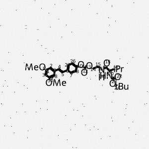 COc1cc(/C=C/c2ccc(OC(=O)OCCNC(=O)C(NC(=O)OC(C)(C)C)C(C)C)cc2)cc(OC)c1